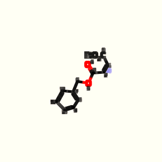 CCOC(=O)/C=C\C(=O)OCc1ccccc1